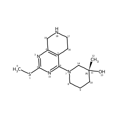 CSc1nc2c(c(N3CCC[C@@](C)(O)C3)n1)CCNC2